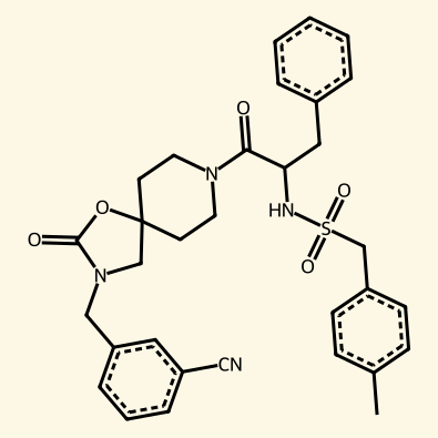 Cc1ccc(CS(=O)(=O)NC(Cc2ccccc2)C(=O)N2CCC3(CC2)CN(Cc2cccc(C#N)c2)C(=O)O3)cc1